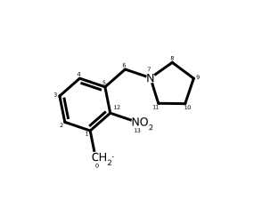 [CH2]c1cccc(CN2CCCC2)c1[N+](=O)[O-]